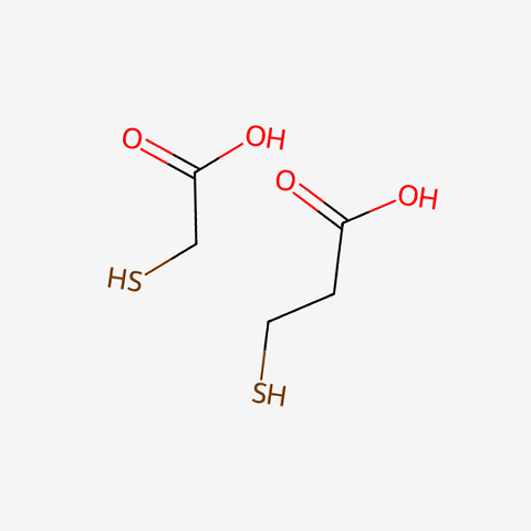 O=C(O)CCS.O=C(O)CS